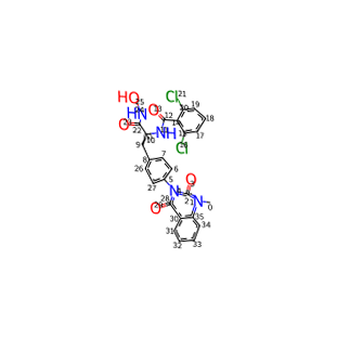 Cn1c(=O)n(-c2ccc(C[C@H](NC(=O)c3c(Cl)cccc3Cl)C(=O)NO)cc2)c(=O)c2ccccc21